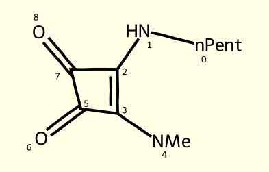 CCCCCNc1c(NC)c(=O)c1=O